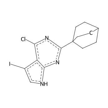 Clc1nc(C23CCC(CC2)CC3)nc2[nH]cc(I)c12